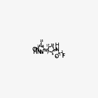 O=C(CF)Nc1ccc(C2=NNC(=O)C3CC23)cc1